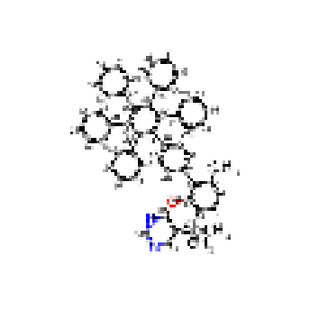 Cc1ccc2c(c1-c1ccc(-c3c(-c4ccccc4)c(-c4ccccc4)c(-c4ccccc4)c(-c4ccccc4)c3-c3ccccc3)cc1)Oc1ncncc1[Si]2(C)C